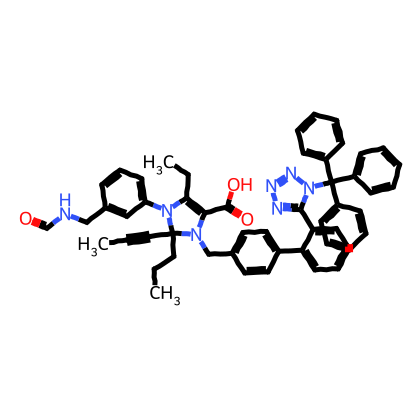 CC#CC1(CCC)N(Cc2ccc(-c3ccccc3-c3nnnn3C(c3ccccc3)(c3ccccc3)c3ccccc3)cc2)C(C(=O)O)=C(CC)N1c1cccc(CNC=O)c1